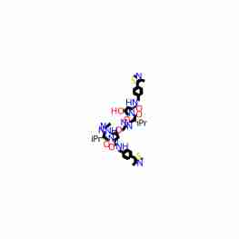 Cc1nnc([C@H](C(=O)N2C[C@H](OCc3noc([C@H](C(=O)N4C[C@H](O)C[C@H]4C(=O)NCc4ccc(-c5scnc5C)cc4)C(C)C)n3)C[C@H]2C(=O)NCc2ccc(-c3scnc3C)cc2)C(C)C)[nH]1